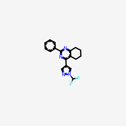 FC(F)n1cc(-c2nc(-c3ccccc3)nc3c2CCCC3)cn1